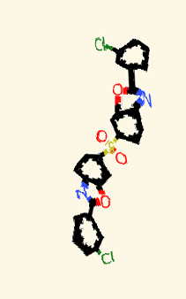 O=S(=O)(c1ccc2nc(-c3cccc(Cl)c3)oc2c1)c1ccc2nc(-c3cccc(Cl)c3)oc2c1